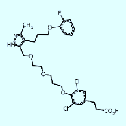 Cc1n[nH]c(COCCOCCCOc2c(Cl)cc(CCC(=O)O)cc2Cl)c1CCCOc1ccccc1F